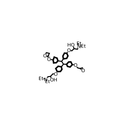 CCN(CC)CC(O)COc1ccc(C(c2ccc(OCC3CO3)cc2)C(c2ccc(OCC(O)CN(CC)CC)cc2)c2ccc(O[C@@H]3CCO3)cc2)cc1